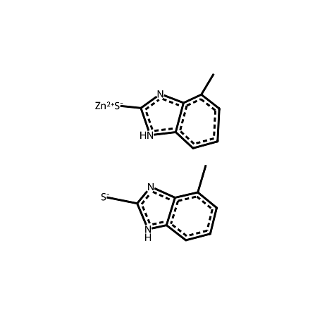 Cc1cccc2[nH]c([S-])nc12.Cc1cccc2[nH]c([S-])nc12.[Zn+2]